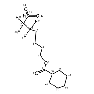 O=C(OCCCCC(F)(F)C(F)(F)[SH](=O)=O)C1CCCCC1